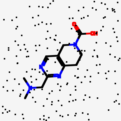 CN(C)Cc1ncc2c(n1)CCN(C(=O)O)C2